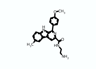 COc1ccc(-c2nc(C(=O)NCCN)cc3c2[nH]c2ccc(C)cc23)cc1